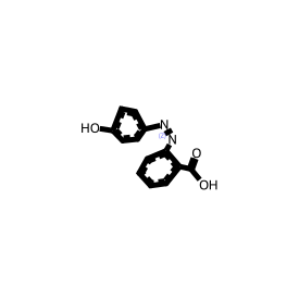 O=C(O)c1ccccc1/N=N\c1ccc(O)cc1